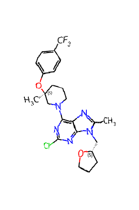 Cc1nc2c(N3CCC[C@](C)(Oc4ccc(C(F)(F)F)cc4)C3)nc(Cl)nc2n1C[C@@H]1CCCO1